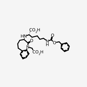 O=C(O)CN1C(=O)[C@@H](N[C@@H](CCCCNC(=O)OCc2ccccc2)C(=O)O)CCCc2ccccc21